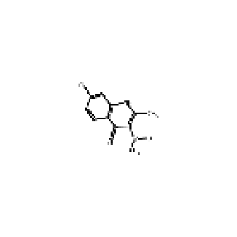 Cc1[nH]c2cc(Cl)ccc2c(=O)c1[S+](C)[O-]